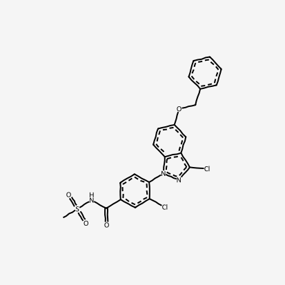 CS(=O)(=O)NC(=O)c1ccc(-n2nc(Cl)c3cc(OCc4ccccc4)ccc32)c(Cl)c1